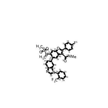 CNC(=O)c1c(-c2ccc(F)cc2)oc2cc(N(C)S(C)(=O)=O)c(-c3ccc4ncn(-c5ccccc5C(F)(F)F)c4c3)cc12